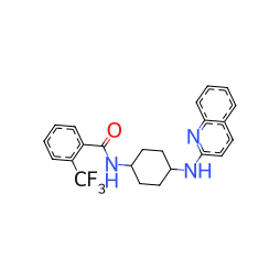 O=C(NC1CCC(Nc2ccc3ccccc3n2)CC1)c1ccccc1C(F)(F)F